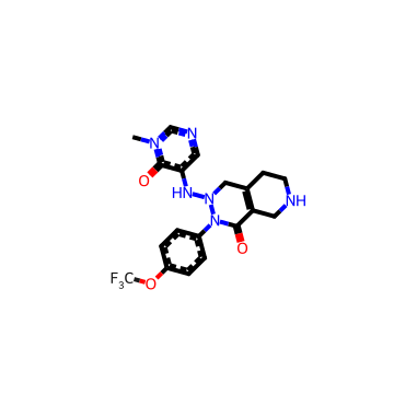 Cn1cncc(NN2CC3=C(CNCC3)C(=O)N2c2ccc(OC(F)(F)F)cc2)c1=O